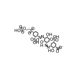 O=[N+]([O-])c1cc(S(=O)(=O)O)cc(/N=N\c2ccc(O)c(N=Nc3ccc(S(=O)(=O)CCOS(=O)(=O)O)cc3S(=O)(=O)O)c2O)c1O